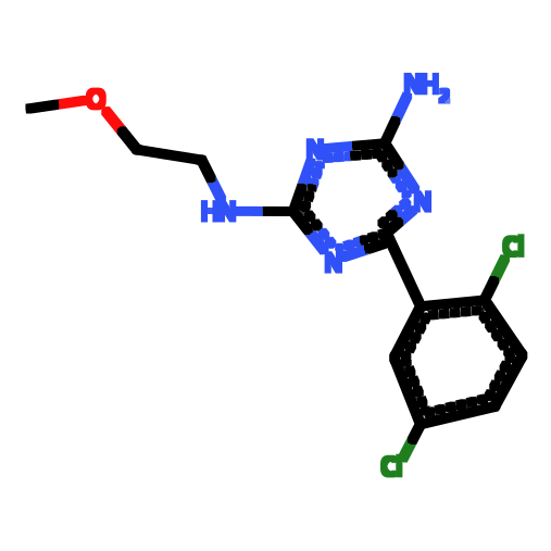 COCCNc1nc(N)nc(-c2cc(Cl)ccc2Cl)n1